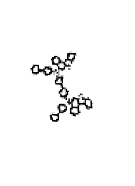 c1ccc(-c2ccc(N(c3ccc(-c4ccc(N(c5ccc(-c6ccccc6)cc5)c5cc6sc7ccccc7c6c6ccccc56)cc4)cc3)c3cc4sc5ccccc5c4c4ccccc34)cc2)cc1